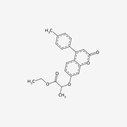 CCOC(=O)C(C)Oc1ccc2c(-c3ccc(C)cc3)cc(=O)oc2c1